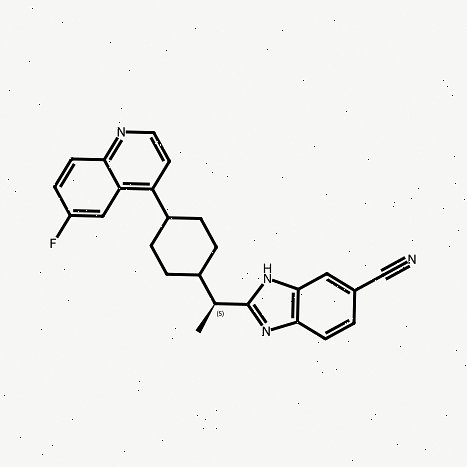 C[C@H](c1nc2ccc(C#N)cc2[nH]1)C1CCC(c2ccnc3ccc(F)cc23)CC1